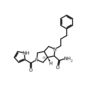 NC(=O)C1[C@@H]2CN(C(=O)c3ccc[nH]3)CC2CN1CC[CH]c1ccccc1